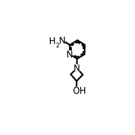 Nc1cccc(N2CC(O)C2)n1